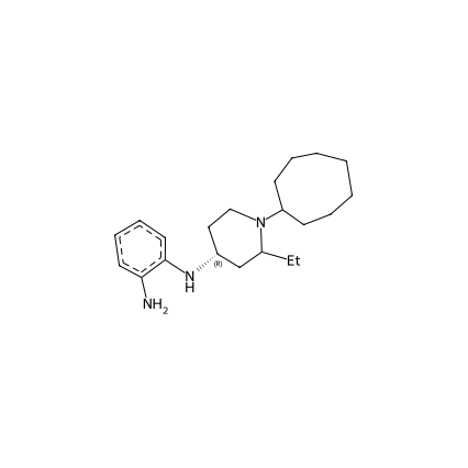 CCC1C[C@H](Nc2ccccc2N)CCN1C1CCCCCCC1